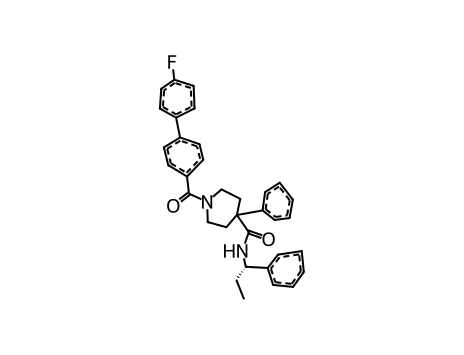 CC[C@H](NC(=O)C1(c2ccccc2)CCN(C(=O)c2ccc(-c3ccc(F)cc3)cc2)CC1)c1ccccc1